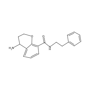 NC1CCOc2c(C(=O)NCCc3ccccc3)cccc21